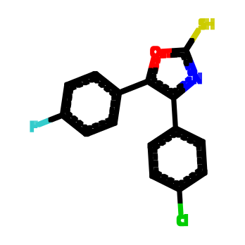 Fc1ccc(-c2oc(S)nc2-c2ccc(Cl)cc2)cc1